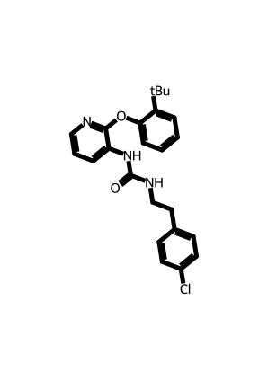 CC(C)(C)c1ccccc1Oc1ncccc1NC(=O)NCCc1ccc(Cl)cc1